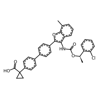 Cc1cccc2c(NC(=O)O[C@H](C)c3ccccc3Cl)c(-c3ccc(-c4ccc(C5(C(=O)O)CC5)cc4)cc3)oc12